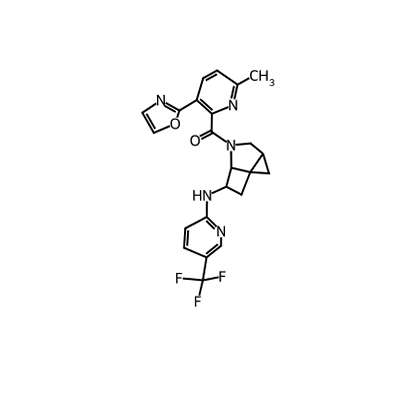 Cc1ccc(-c2ncco2)c(C(=O)N2CC3CC34CC(Nc3ccc(C(F)(F)F)cn3)C24)n1